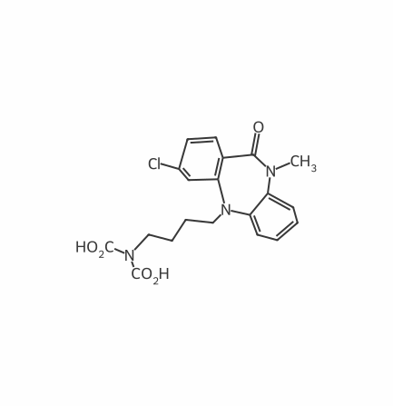 CN1C(=O)c2ccc(Cl)cc2N(CCCCN(C(=O)O)C(=O)O)c2ccccc21